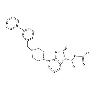 CCC(=O)OC(CC)n1c(=O)oc2c(N3CCN(Cc4cccc(-c5ccccc5)c4)CC3)cccc21